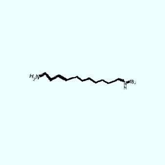 CC(C)(C)NCCCCCCCCCCCN